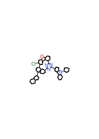 Clc1cc2oc3cccc(-c4nc(-c5ccccc5)nc(-c5ccc6c(c5)c5ccccc5n6-c5ccccc5)n4)c3c2cc1-c1ccc(-c2ccc3ccccc3c2)cc1